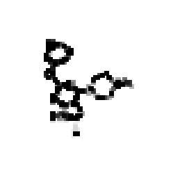 CCc1cc2c(N3CCN(C(C)=O)CC3)nc(Oc3cccnc3)nc2[nH]1